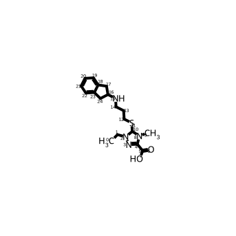 CCN1N=C(C(=O)O)N(C)C1SCCCNC1Cc2ccccc2C1